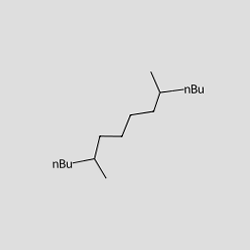 CCCCC(C)CCCCC(C)CCCC